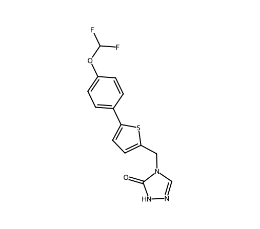 O=c1[nH]ncn1Cc1ccc(-c2ccc(OC(F)F)cc2)s1